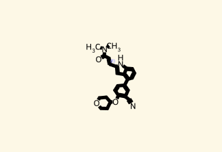 CN(C)C(=O)/C=C/c1cc2c(-c3ccc(OC4CCOCC4)c(C#N)c3)cccc2[nH]1